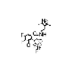 COc1c([C@H]2[C@H](C(=O)NCCc3c(C)noc3C)O[C@@](C)(C(F)(F)F)[C@H]2C)ccc(F)c1F